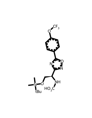 CC(C)(C)[Si](C)(C)OC[C@H](NC(=O)O)c1noc(-c2ccc(OC(F)(F)F)cc2)n1